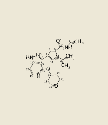 CCNC(=O)c1cc(-c2n[nH]c3ccnc(OC4CCOCC4)c23)cn1C(C)C